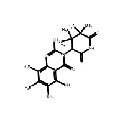 Bc1c(B)c(N)c2c(=O)n(C3C(=O)NC(=O)C(B)(B)C3(B)B)c(C)nc2c1B